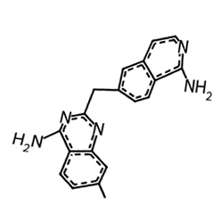 Cc1ccc2c(N)nc(Cc3ccc4c(N)nccc4c3)nc2c1